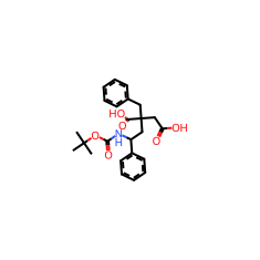 CC(C)(C)OC(=O)NC(CC(CC(=O)O)(Cc1ccccc1)C(=O)O)c1ccccc1